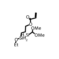 C=CC(=O)OCCC[SiH2]OCC.COC([SiH3])OC